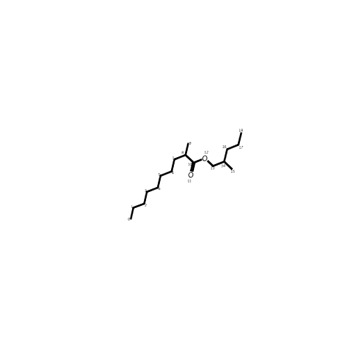 CCCCCCCCC(C)C(=O)OCC(C)CCC